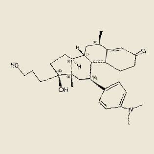 C[C@@H]1C[C@@H]2C(=C3CCC(=O)C=C31)[C@@H](c1ccc(N(C)C)cc1)C[C@@]1(C)[C@H]2CC[C@@]1(O)CCCO